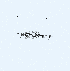 CCOC(=O)C=C1CC2(CCN(c3ccc([N+](=O)[O-])cn3)CC2)C1